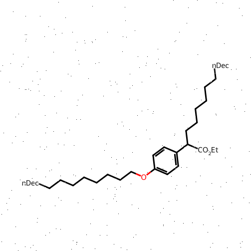 CCCCCCCCCCCCCCCCCCOc1ccc(C(CCCCCCCCCCCCCCCC)C(=O)OCC)cc1